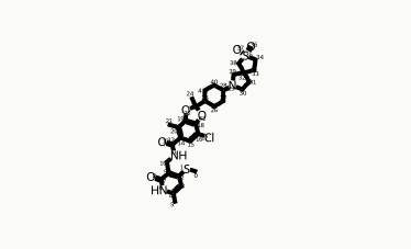 CSc1cc(C)[nH]c(=O)c1CNC(=O)c1cc(Cl)c2c(c1C)OC(C)(C1CCC(N3CCC4(CCS(=O)(=O)C4)C3)CC1)O2